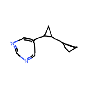 c1ncc(C2C[C]2C2CC2)cn1